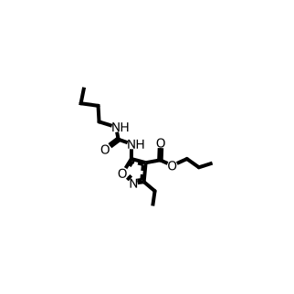 CCCCNC(=O)Nc1onc(CC)c1C(=O)OCCC